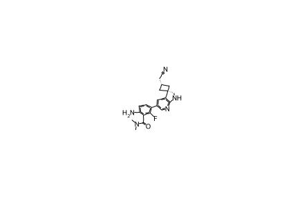 CN(C)C(=O)c1c(N)ccc(-c2cnc3c(c2)[C@]2(CN3)C[C@@H](CC#N)C2)c1F